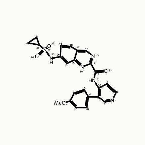 COc1ccc(-c2cnccc2NC(=O)c2ncc3ccc(NS(=O)(=O)C4CC4)cc3n2)cc1